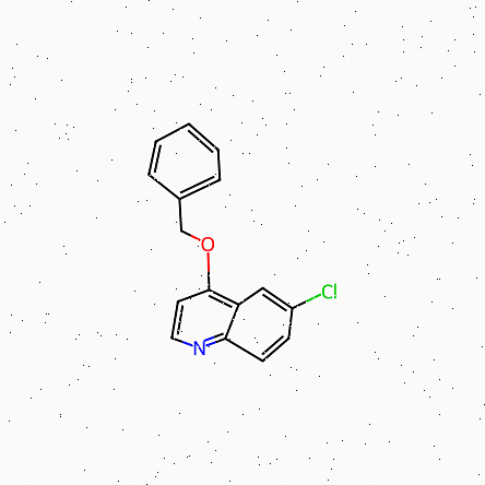 Clc1ccc2nccc(OCc3ccccc3)c2c1